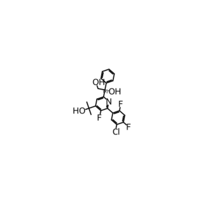 CC(C)(O)c1cc([C@@](O)(CO)c2ccccc2)nc(-c2cc(Cl)c(F)cc2F)c1F